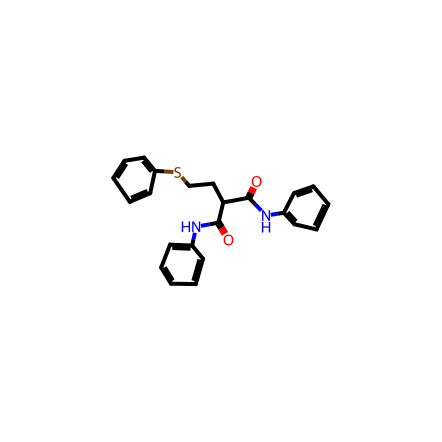 O=C(Nc1ccccc1)C(CCSc1ccccc1)C(=O)Nc1ccccc1